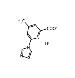 Cc1cc(C(=O)[O-])nc(-n2ccnc2)c1.[Li+]